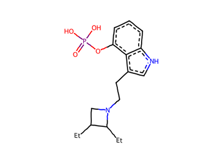 CCC1CN(CCc2c[nH]c3cccc(OP(=O)(O)O)c23)C1CC